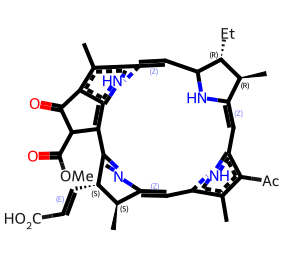 CC[C@H]1C2/C=c3\[nH]c4c(c3C)C(=O)C(C(=O)OC)C=4C3=N/C(=C\c4[nH]c(c(C(C)=O)c4C)/C=C(\N2)[C@@H]1C)[C@@H](C)[C@@H]3/C=C/C(=O)O